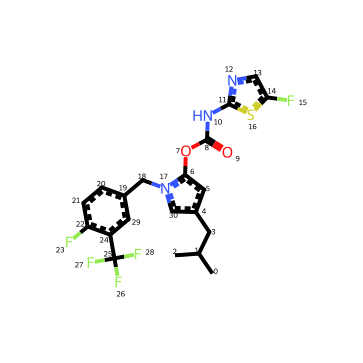 CC(C)Cc1cc(OC(=O)Nc2ncc(F)s2)n(Cc2ccc(F)c(C(F)(F)F)c2)c1